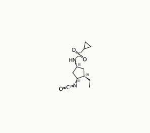 CC[C@@H]1C[C@H](NS(=O)(=O)C2CC2)C[C@@H]1N=C=O